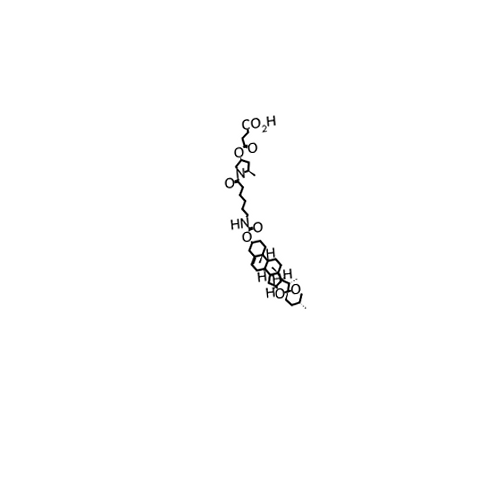 C[C@@H]1CC[C@@]2(OC1)O[C@H]1C[C@H]3[C@@H]4CC=C5C[C@@H](OC(=O)NCCCCCC(=O)N6C[C@H](OC(=O)CCC(=O)O)C[C@H]6C)CC[C@]5(C)[C@H]4CC[C@]3(C)[C@H]1[C@@H]2C